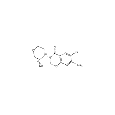 Cc1cc2c(cc1Br)C(=O)N([C@H]1CCOC[C@@H]1O)CO2